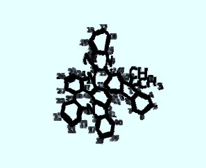 CC1(C)c2ccccc2-c2ccc(-c3nc4ccccc4nc3-n3c4cccc5c6ccccc6n6c7ccccc7c7ccc3c(c54)c76)cc21